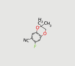 CC1(C)COc2cc(F)c(C#N)cc2O1